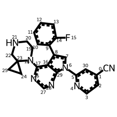 N#Cc1ccnc(-n2cc(-c3ccccc3F)c3c(N4CCNCC45CC5)ncnc32)c1